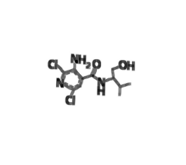 CC(C)C(CO)NC(=O)c1cc(Cl)nc(Cl)c1N